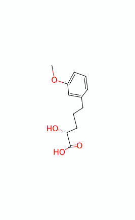 COc1cccc(CCC[C@@H](O)C(=O)O)c1